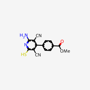 COC(=O)c1ccc(-c2c(C#N)c(N)nc(S)c2C#N)cc1